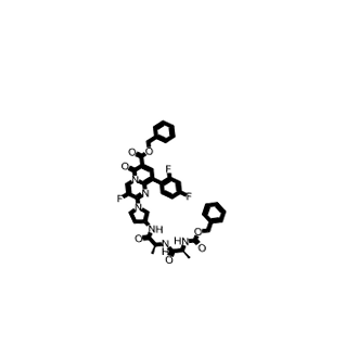 C[C@H](NC(=O)OCc1ccccc1)C(=O)N[C@@H](C)C(=O)NC1CCN(c2nc3c(-c4ccc(F)cc4F)cc(C(=O)OCc4ccccc4)c(=O)n3cc2F)C1